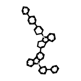 C1=CC(n2c3c(c4ccccc42)C=C(c2ccc4c(c2)c2ccccc2n4-c2cccc(-c4ccccc4)c2)CC3)CC=C1c1ccc(-c2ccccc2)cc1